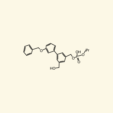 CC(C)OP(=O)(O)OCc1cc(CO)cc(-c2cccc(OCc3ccccc3)c2)c1